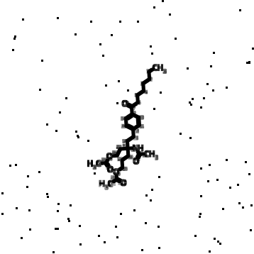 CCCCCCCC(=O)c1ccc(CCC(CCCOC(C)=O)(CCOC(C)=O)NC(C)=O)cc1